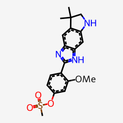 COc1cc(OS(C)(=O)=O)ccc1-c1nc2cc3c(cc2[nH]1)NCC3(C)C